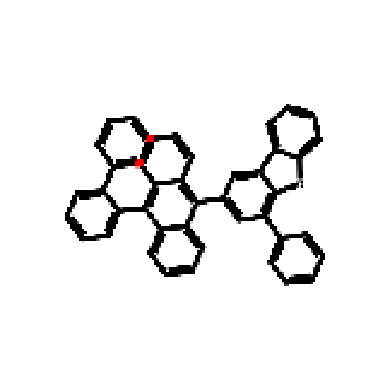 c1ccc(-c2ccccc2-c2c3ccccc3c(-c3cc(-c4ccccc4)c4oc5ccccc5c4c3)c3ccccc23)cc1